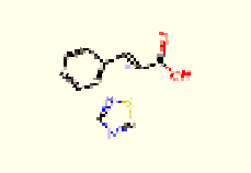 O=C(O)/C=C/c1ccccc1.c1ncsn1